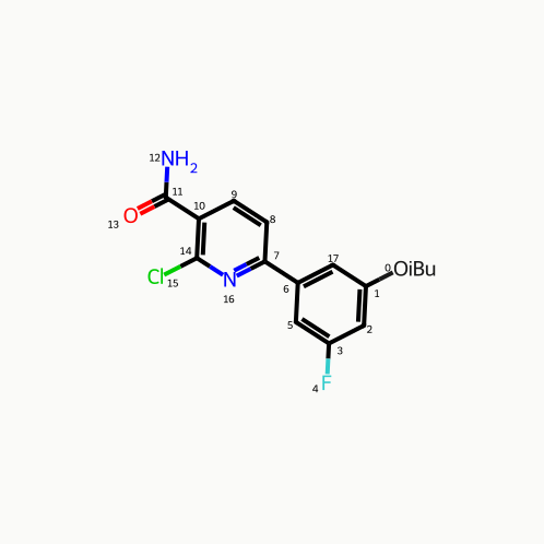 CC(C)COc1cc(F)cc(-c2ccc(C(N)=O)c(Cl)n2)c1